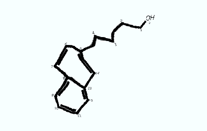 OCCCCc1ccc2ccccc2c1